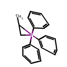 CC1CP1(c1ccccc1)(c1ccccc1)c1ccccc1